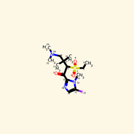 CCS(=O)(=O)C(C(=O)c1ncc(I)n1C)C(C)(C)CN(C)C